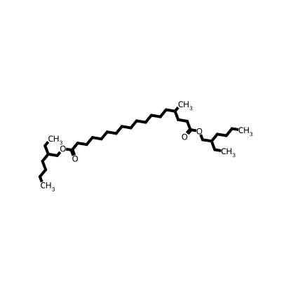 CCCCC(CC)COC(=O)CCCCCCCCCCCCCC(C)CCC(=O)OCC(CC)CCCC